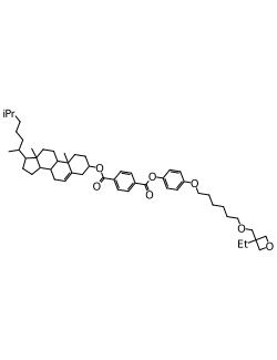 CCC1(COCCCCCCOc2ccc(OC(=O)c3ccc(C(=O)OC4CCC5(C)C(=CCC6C5CCC5(C)C(C(C)CCCC(C)C)CCC65)C4)cc3)cc2)COC1